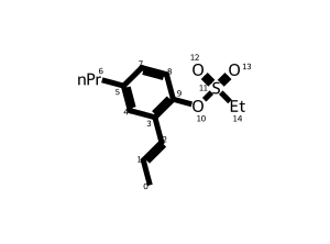 CC=Cc1cc(CCC)ccc1OS(=O)(=O)CC